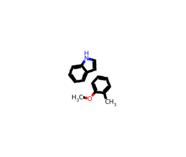 COc1ccccc1C.c1ccc2[nH]ccc2c1